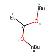 CCCCOC(CC)OC(C)CC